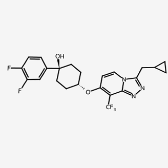 O[C@]1(c2ccc(F)c(F)c2)CC[C@@H](Oc2ccn3c(CC4CC4)nnc3c2C(F)(F)F)CC1